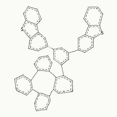 c1ccc2c(c1)-c1ccccc1-c1cccc(-c3cc(-c4ccc5sc6ccccc6c5c4)cc(-c4ccc5sc6ccccc6c5c4)c3)c1-c1ccccc1-2